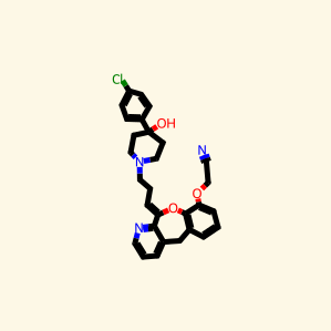 N#CCOc1cccc2c1OC(=CCCN1CCC(O)(c3ccc(Cl)cc3)CC1)c1ncccc1C2